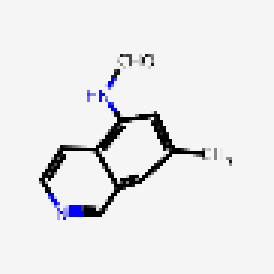 Cc1cc(NC=O)c2ccncc2c1